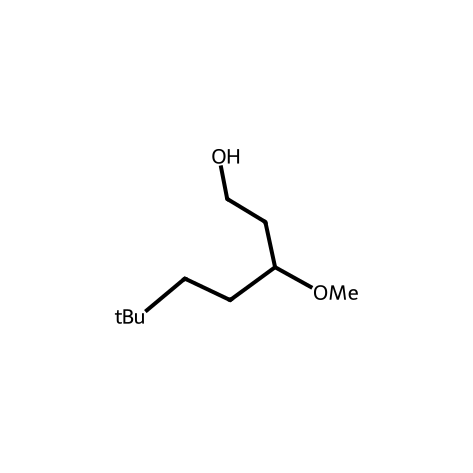 COC(CCO)CCC(C)(C)C